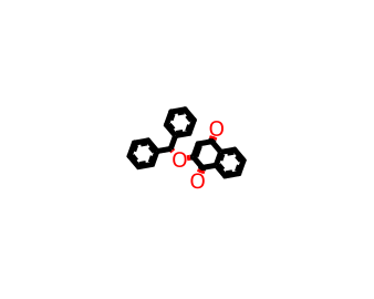 O=C1C=C(OC(c2ccccc2)c2ccccc2)C(=O)c2ccccc21